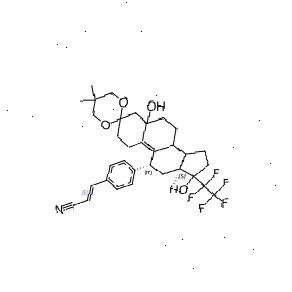 CC1(C)COC2(CCC3=C4C(CCC3(O)C2)C2CCC(O)(C(F)(F)C(F)(F)F)[C@@]2(C)C[C@@H]4c2ccc(/C=C/C#N)cc2)OC1